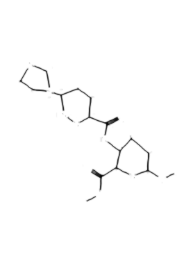 COC(=O)C1NC(OC)CCC1NC(=O)C1CCC(N2CCNC2)NN1